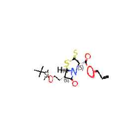 C=CCOC(=O)[C@H]1C(=S)S[C@@H]2[C@@H](CCO[Si](C)(C)C(C)(C)C)C(=O)N12